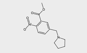 COC(=O)c1cc(CN2CCCC2)ccc1[N+](=O)[O-]